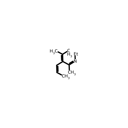 C/C=C\C(=C(C)C)/C(C)=N\CC